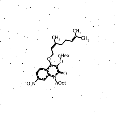 CCCCCCCCn1c(=O)c(OCCCCCC)c(OCC=C(C)CCC=C(C)C)c2ccc([N+](=O)[O-])cc21